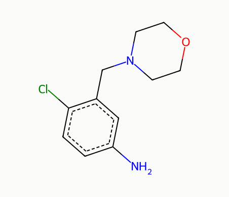 Nc1ccc(Cl)c(CN2CCOCC2)c1